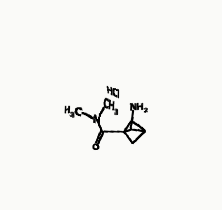 CN(C)C(=O)C12CC(C1)C2N.Cl